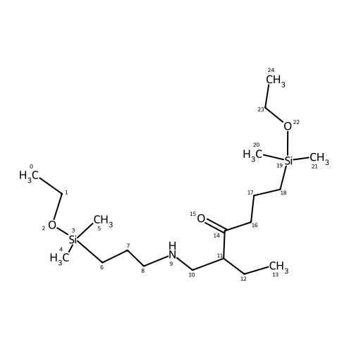 CCO[Si](C)(C)CCCNCC(CC)C(=O)CCC[Si](C)(C)OCC